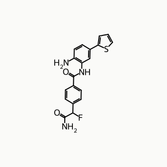 NC(=O)C(F)c1ccc(C(=O)Nc2cc(-c3cccs3)ccc2N)cc1